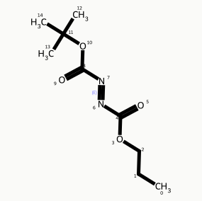 CCCOC(=O)/N=N/C(=O)OC(C)(C)C